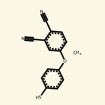 C.N#Cc1ccc(Oc2ccc(S)cc2)cc1C#N